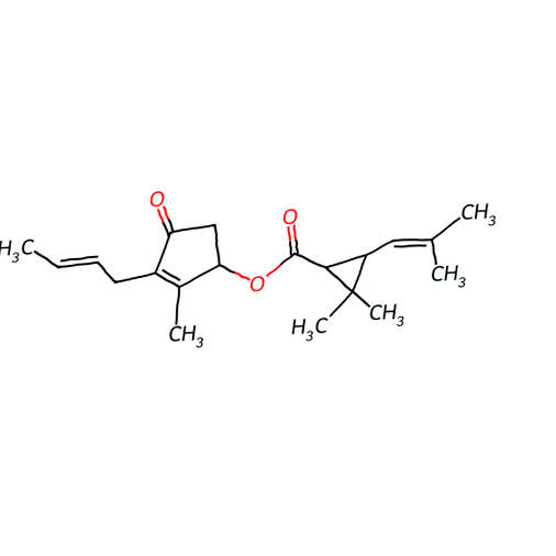 CC=CCC1=C(C)C(OC(=O)C2C(C=C(C)C)C2(C)C)CC1=O